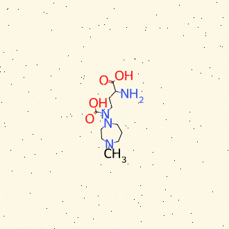 CN1CCCN(N(CCC(N)C(=O)O)C(=O)O)CC1